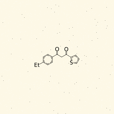 CCc1ccc(C(=O)CC(=O)c2cccs2)cc1